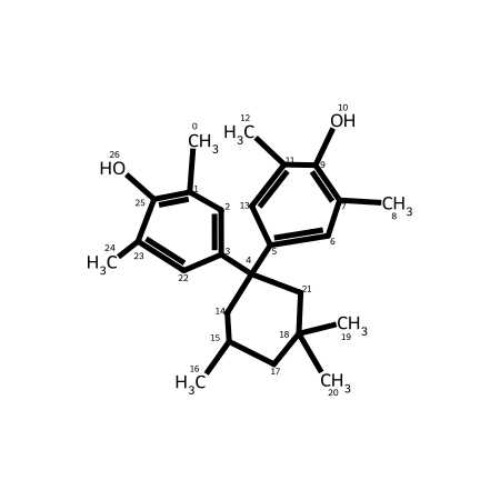 Cc1cc(C2(c3cc(C)c(O)c(C)c3)CC(C)CC(C)(C)C2)cc(C)c1O